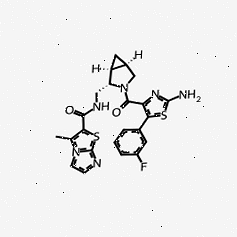 Cc1c(C(=O)NC[C@@H]2[C@H]3C[C@H]3CN2C(=O)c2nc(N)sc2-c2cccc(F)c2)sc2nccn12